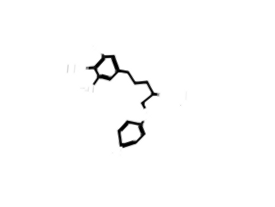 CC(C)(C)c1cc(CCCC(CSc2ccc(O)cc2)C(=O)O)cc(C(C)(C)C)c1O